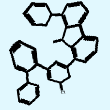 CC1c2c(C3=CC(c4ccccc4-c4ccccc4)=CC(Cl)C3)cccc2-c2cccc(C3C=CC=CC3)c21